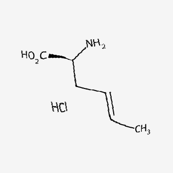 CC=CC[C@H](N)C(=O)O.Cl